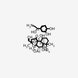 C=C[C@@]1(C)CC(=O)[C@]2(O)[C@@]3(C)[C@@H](O)CCC(C)(C)[C@@H]3[C@H](O)[C@H](OC(C)=O)[C@@]2(C)O1.NC[C@H](O)c1ccc(O)c(O)c1